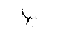 C=C(C)OF